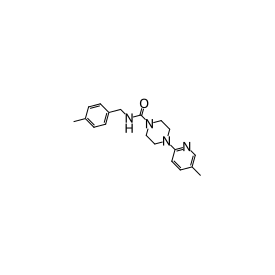 Cc1ccc(CNC(=O)N2CCN(c3ccc(C)cn3)CC2)cc1